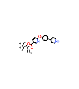 CC(C)(C)OC(=O)c1ccc(Oc2ccc(C3CCNCC3)cc2)nc1